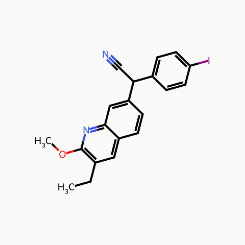 CCc1cc2ccc(C(C#N)c3ccc(I)cc3)cc2nc1OC